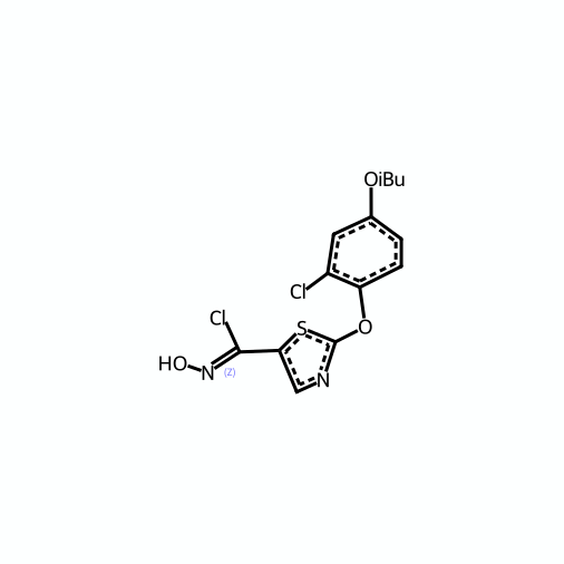 CC(C)COc1ccc(Oc2ncc(/C(Cl)=N/O)s2)c(Cl)c1